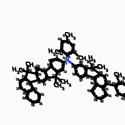 Cc1cc(C)c(N(c2ccc3c(c2)C(C)(C)c2cc4c(cc2-3)C(C)(C)c2ccc3ccccc3c2-4)c2ccc3c(c2)C(C)(C)c2cc(-c4cc(C)ccc4C)c4ccccc4c2-3)c(C)c1